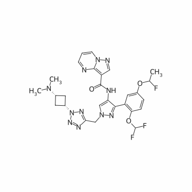 CC(F)Oc1ccc(OC(F)F)c(-c2nn(Cc3nnn([C@H]4C[C@@H](N(C)C)C4)n3)cc2NC(=O)c2cnn3cccnc23)c1